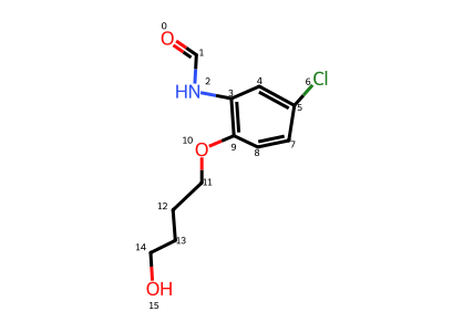 O=CNc1cc(Cl)ccc1OCCCCO